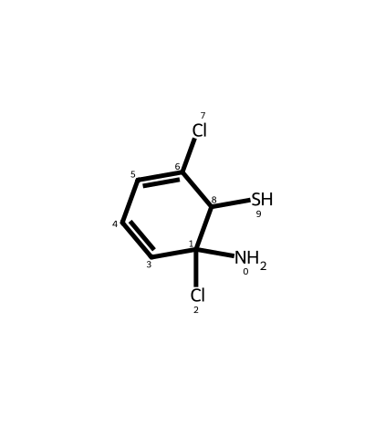 NC1(Cl)C=CC=C(Cl)C1S